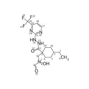 CCC1CCC(CN(O)C=O)(C(=O)NNc2nccc(C(F)(F)F)n2)CC1